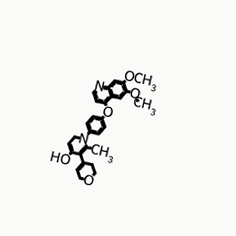 COc1cc2nccc(Oc3ccc(N4CC=C(O)C(C5=CCOCC5)=C4C)cc3)c2cc1OC